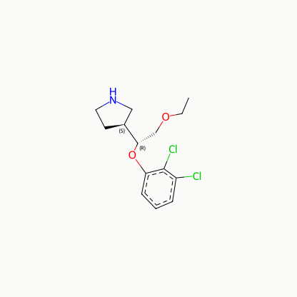 CCOC[C@H](Oc1cccc(Cl)c1Cl)[C@H]1CCNC1